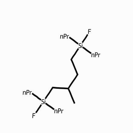 CCC[Si](F)(CCC)CCC(C)C[Si](F)(CCC)CCC